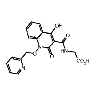 O=C(O)CNC(=O)c1c(O)c2ccccc2n(OCc2ccccn2)c1=O